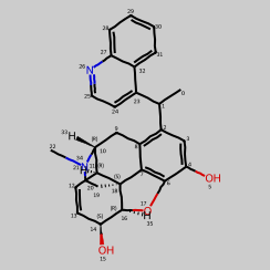 CC(c1cc(O)c2c3c1C[C@@H]1[C@@H]4C=C[C@H](O)[C@H](O2)[C@]34CCN1C)c1ccnc2ccccc12